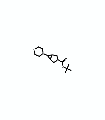 CC(C)(C)OC(=O)N1CC2C(C1)C2N1CCOCC1